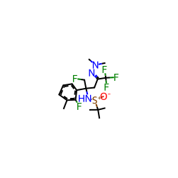 Cc1cccc(C(CF)(CC(=NN(C)C)C(F)(F)F)N[S+]([O-])C(C)(C)C)c1F